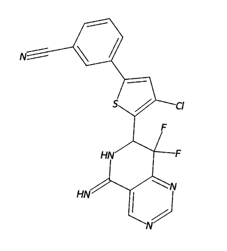 N#Cc1cccc(-c2cc(Cl)c(C3NC(=N)c4cncnc4C3(F)F)s2)c1